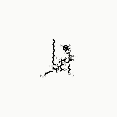 CCCCCCCCCCCC(=O)N[C@@H](CCCCN)C(=O)N[C@H](C(=O)N[C@@H](N)C(=O)N[C@@H](CCCCN)C(=O)N[C@@H](N)B1OC2C[C@@H]3C[C@@H](C3(C)C)[C@]2(C)O1)C(C)O